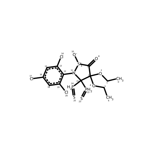 CCOC1(OCC)C(=O)[S+]([O-])N(c2c(Cl)cc(Cl)cc2Cl)C1([PH2]=S)[PH2]=S